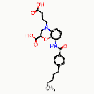 CCCCCc1ccc(C(=O)Nc2cccc3c2OC(C(=O)O)CN3CCCC(=O)O)cc1